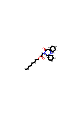 CCCCCCCCOC(=O)CN1CC2(CCCCC2)NC2(CCCCC2)CC1=O